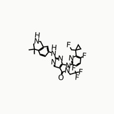 CC1(C)CNCc2cc(Nc3ncc4c(=O)n(CC(F)(F)F)n(-c5ccc(F)c(C6(CF)CC6)n5)c4n3)ccc21